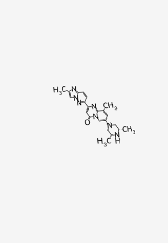 Cc1cn2nc(-c3cc(=O)n4cc(N5C[C@H](C)N[C@@H](C)C5)cc(C)c4n3)ccc2n1